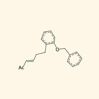 CC(=O)/C=C/CCc1ccccc1OCc1ccccc1